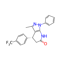 Cc1nn(-c2ccccc2)c2c1[C@@H](c1ccc(C(F)(F)F)cc1)CC(=O)N2